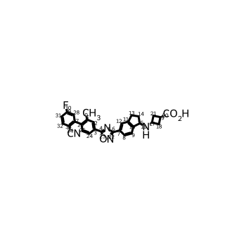 Cc1cc(-c2nc(-c3ccc4c(c3)CCC4N[C@H]3C[C@H](C(=O)O)C3)no2)ccc1-c1cc(F)ccc1C#N